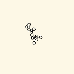 c1ccc(-c2nc(-c3ccccc3)c3oc4ccc(-n5c6ccccc6c6c7c(ccc65)oc5ccccc57)cc4c3n2)cc1